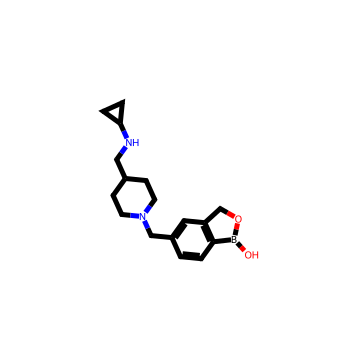 OB1OCc2cc(CN3CCC(CNC4CC4)CC3)ccc21